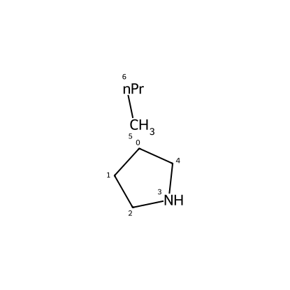 C1CCNC1.CCCC